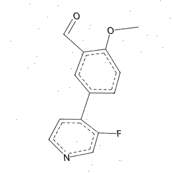 COc1ccc(-c2ccncc2F)cc1C=O